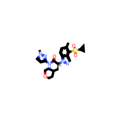 Cc1ccc2c(cnn2[C@@H](CC2CCOCC2)C(=O)Nc2ccn(C)n2)c1S(=O)(=O)C1CC1